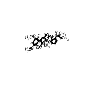 C=CC(C)Nc1cccc(C)c1Nc1ncc2cc(-c3c(Cl)c(OC)cc(OC)c3Cl)c(=O)n(C)c2n1